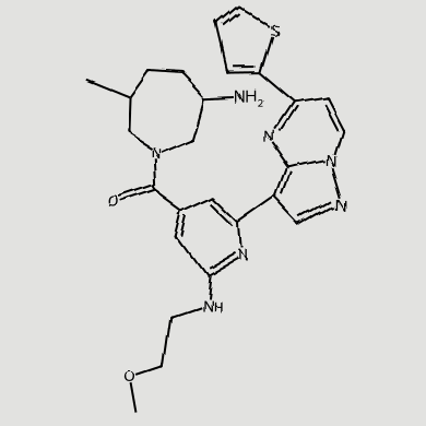 COCCNc1cc(C(=O)N2CC(C)CCC(N)C2)cc(-c2cnn3ccc(-c4cccs4)nc23)n1